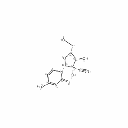 N#C[C@]1(O)[C@H](O)[C@@H](CO)O[C@H]1n1ccc(N)nc1=O